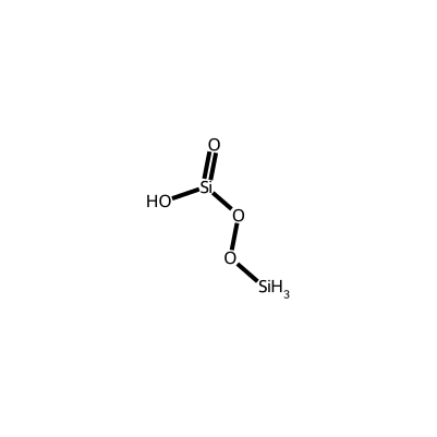 O=[Si](O)OO[SiH3]